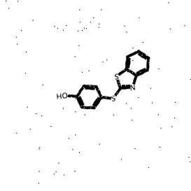 Oc1ccc(Sc2nc3ccccc3s2)cc1